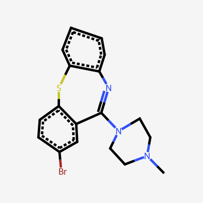 CN1CCN(C2=Nc3ccccc3Sc3ccc(Br)cc32)CC1